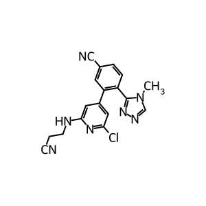 Cn1cnnc1-c1ccc(C#N)cc1-c1cc(Cl)nc(NCCC#N)c1